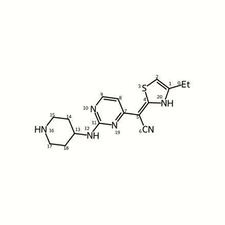 CCC1=CS/C(=C(/C#N)c2ccnc(NC3CCNCC3)n2)N1